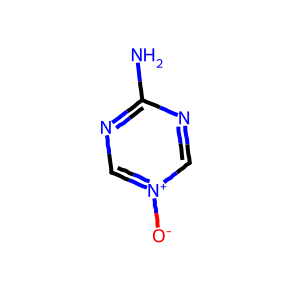 Nc1nc[n+]([O-])cn1